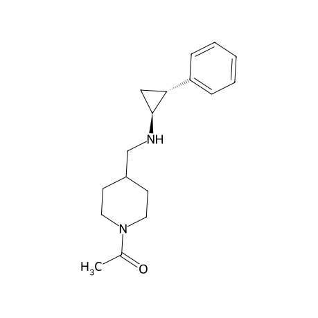 CC(=O)N1CCC(CN[C@H]2C[C@@H]2c2ccccc2)CC1